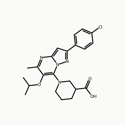 Cc1nc2cc(-c3ccc(Cl)cc3)nn2c(N2CCCC(C(=O)O)C2)c1OC(C)C